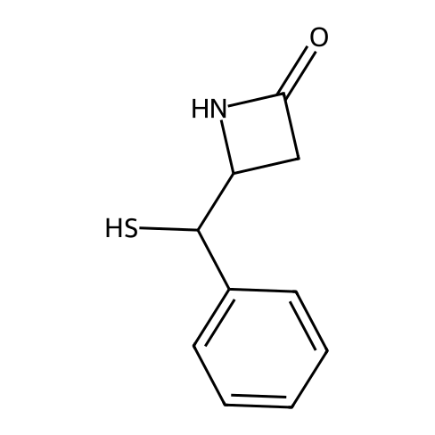 O=C1CC(C(S)c2ccccc2)N1